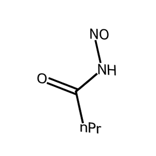 CCCC(=O)NN=O